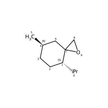 CC(C)[C@@H]1CC[C@@H](C)CC12CO2